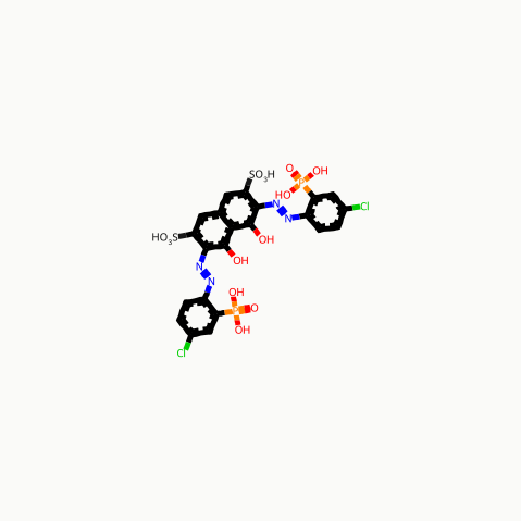 O=P(O)(O)c1cc(Cl)ccc1/N=N/c1c(S(=O)(=O)O)cc2cc(S(=O)(=O)O)c(/N=N/c3ccc(Cl)cc3P(=O)(O)O)c(O)c2c1O